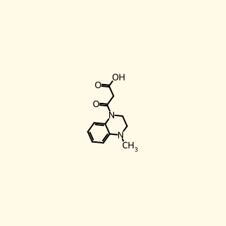 CN1CCN(C(=O)CC(=O)O)c2ccccc21